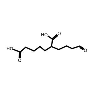 O=CCCCC(CCCCC(=O)O)C(=O)O